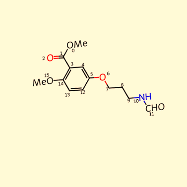 COC(=O)c1cc(OCCCNC=O)ccc1OC